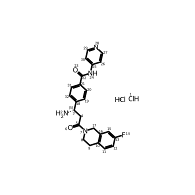 Cl.Cl.N[C@@H](CC(=O)N1CCc2ccc(F)cc2C1)c1ccc(C(=O)Nc2ccncc2)cc1